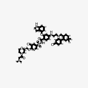 CN(C)CC(=O)N1CCO[C@@H](COc2ncc(S(=O)(=O)NC(=O)c3ccc(NCCNCC4=C(c5ccc(Cl)cc5)CC(C)(C)CC4)cc3Oc3cccc4[nH]ncc34)cc2Cl)C1